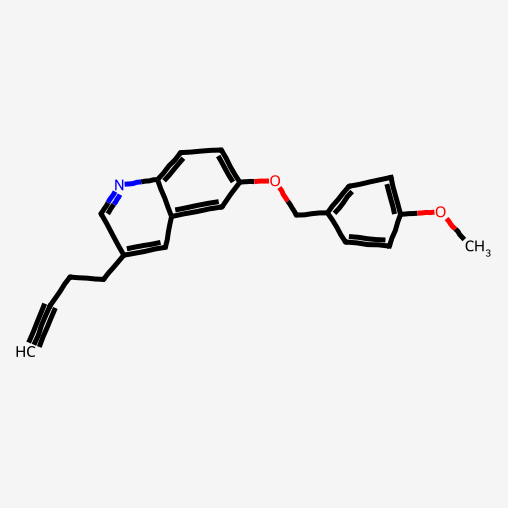 C#CCCc1cnc2ccc(OCc3ccc(OC)cc3)cc2c1